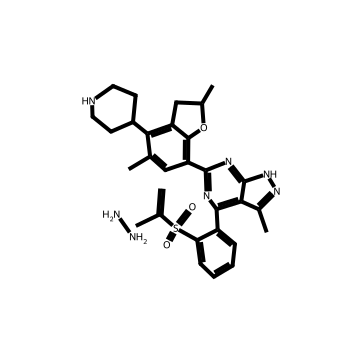 C=C(C)S(=O)(=O)c1ccccc1-c1nc(-c2cc(C)c(C3CCNCC3)c3c2OC(C)C3)nc2[nH]nc(C)c12.NN